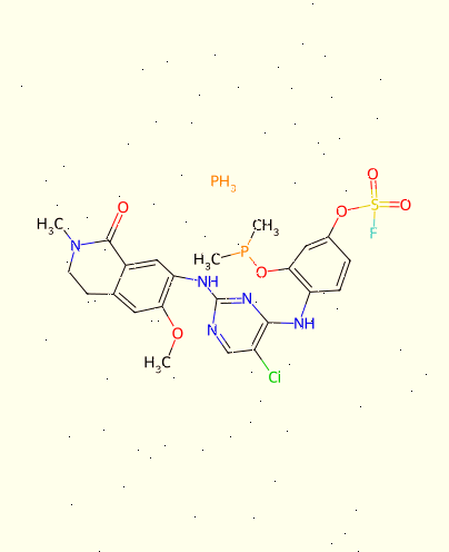 COc1cc2c(cc1Nc1ncc(Cl)c(Nc3ccc(OS(=O)(=O)F)cc3OP(C)C)n1)C(=O)N(C)CC2.P